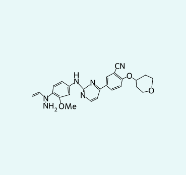 C=CN(N)c1ccc(Nc2nccc(-c3ccc(OC4CCOCC4)c(C#N)c3)n2)cc1OC